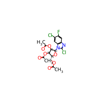 CC(=O)OC[C@H]1O[C@H](n2c(Cl)nc3cc(F)c(Cl)cc32)[C@H](OC(C)=O)[C@@H]1OC(C)=O